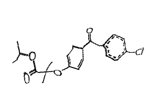 CC(C)OC(=O)C(C)(C)OC1=CCC(C(=O)c2ccc(Cl)cc2)C=C1